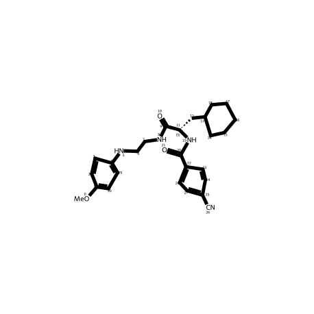 COc1ccc(NCCNC(=O)[C@H](CC2CCCCC2)NC(=O)c2ccc(C#N)cc2)cc1